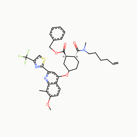 C=CCCCCN(C)C(=O)[C@@H]1CCC(Oc2cc(-c3nc(C(F)(F)F)cs3)nc3c(C)c(OC)ccc23)C[C@H]1C(=O)OCc1ccccc1